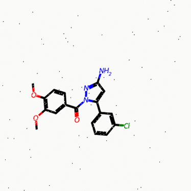 COc1ccc(C(=O)n2nc(N)cc2-c2cccc(Cl)c2)cc1OC